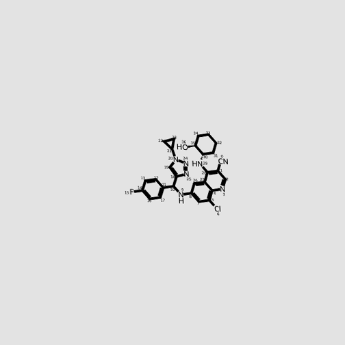 N#Cc1cnc2c(Cl)cc(NC(c3ccc(F)cc3)c3cn(C4CC4)nn3)cc2c1N[C@H]1CCCC[C@@H]1O